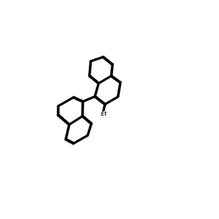 CCC1CCC2CCCCC2C1C1CCCC2CCCCC21